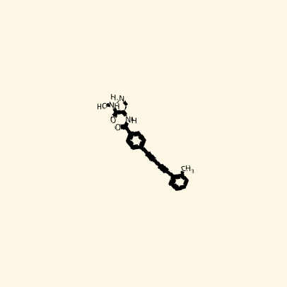 Cc1ccccc1C#CC#Cc1ccc(C(=O)N[C@@H](CN)C(=O)NO)cc1